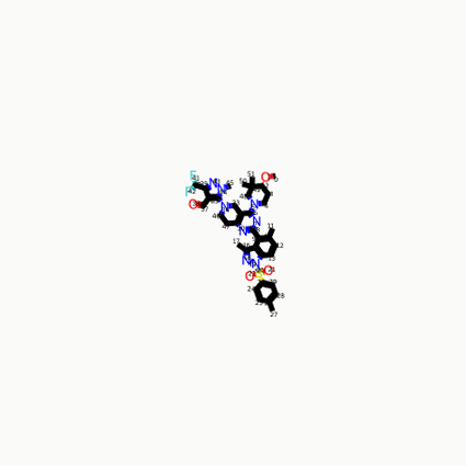 CO[C@@H]1CCN(c2nc(-c3c(C)ccc4c3c(C)nn4S(=O)(=O)c3ccc(C)cc3)nc3c2CN(c2c(C=O)c(C(F)F)nn2C)CC3)CC1(C)C